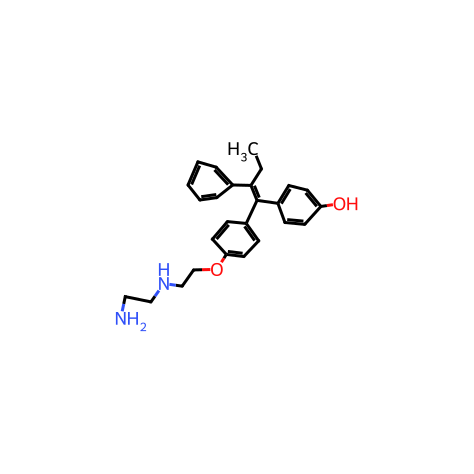 CC/C(=C(\c1ccc(O)cc1)c1ccc(OCCNCCN)cc1)c1ccccc1